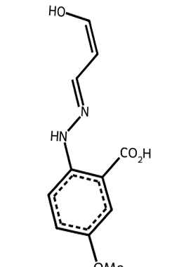 COc1ccc(N/N=C/C=C\O)c(C(=O)O)c1